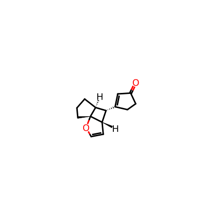 O=C1C=C([C@@H]2[C@@H]3C=CO[C@@]34CCC[C@@H]24)CC1